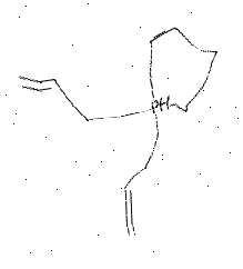 C=CC[PH]1(CC=C)CCCC1